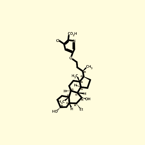 CC[C@H]1[C@@H](O)[C@@H]2[C@H](CC[C@]3(C)[C@@H]([C@H](C)CCOc4cnc(C(=O)O)c(Cl)c4)CC[C@@H]23)[C@@]2(C)CC[C@@H](O)C[C@@H]12